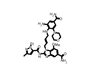 CCn1nc(C)cc1C(=O)Nc1nc2cc(C(N)=O)cc(OC)c2n1C/C=C/CNc1c(N)cc(C(N)=O)cc1N1CCOCC1